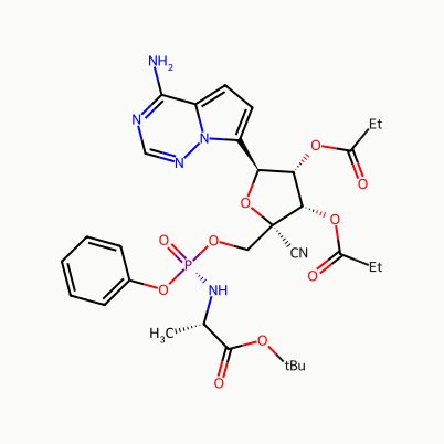 CCC(=O)O[C@H]1[C@H](c2ccc3c(N)ncnn23)O[C@](C#N)(CO[P@@](=O)(N[C@@H](C)C(=O)OC(C)(C)C)Oc2ccccc2)[C@H]1OC(=O)CC